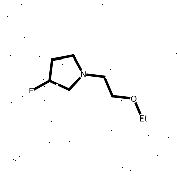 CCOCCN1CCC(F)C1